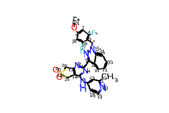 CCOc1cc(F)c(Cn2nc(-c3nc4c(c(Nc5ccnc(C)c5)n3)CS(=O)(=O)C4)c3ccccc32)c(F)c1